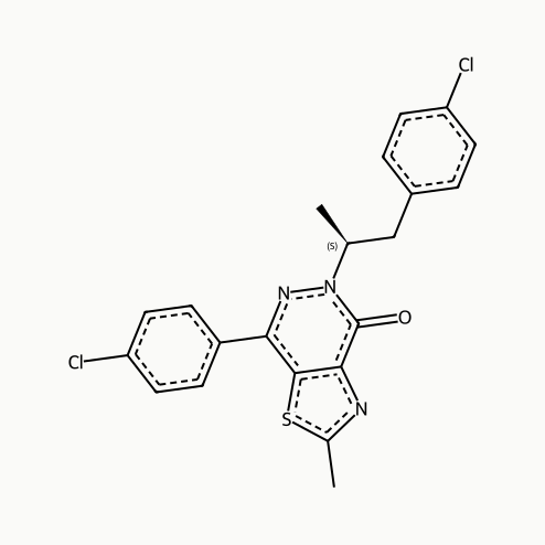 Cc1nc2c(=O)n([C@@H](C)Cc3ccc(Cl)cc3)nc(-c3ccc(Cl)cc3)c2s1